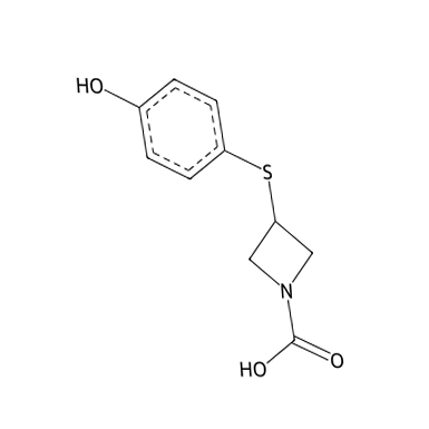 O=C(O)N1CC(Sc2ccc(O)cc2)C1